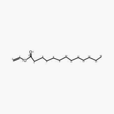 C=COC(=O)CCCCCCCCCCCC